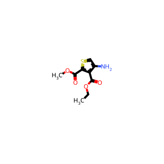 CCOC(=O)c1c(N)csc1C(=O)OC